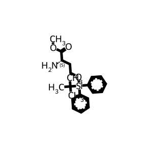 COC(=O)[C@@H](N)CCO[Si](c1ccccc1)(c1ccccc1)C(C)(C)C